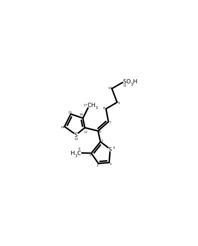 Cc1ccsc1C(=CCCCS(=O)(=O)O)c1sccc1C